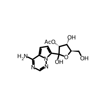 CC(=O)O[C@@H]1[C@H](O)[C@@H](CO)OC1(O)c1ccc2c(N)ncnn12